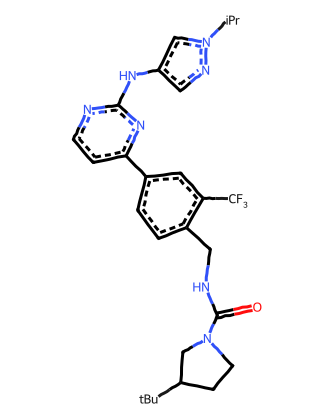 CC(C)n1cc(Nc2nccc(-c3ccc(CNC(=O)N4CCC(C(C)(C)C)C4)c(C(F)(F)F)c3)n2)cn1